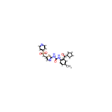 Cc1ccc(NC(=O)Nc2ncc(CS(=O)(=O)c3ccncc3)s2)c(C(=O)C2CCCC2)c1